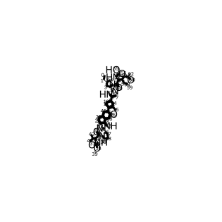 CC[C@H]1C[C@@H](c2ncc(-c3ccc4c(c3)COc3cc5c(ccc6nc([C@@H]7CC[C@H](C)N7C(=O)[C@@H](NC(=O)OC)C(C)C)[nH]c65)cc3-4)[nH]2)N(C(=O)[C@@H](NC(=O)O)C2C[C@@H](C)O[C@H](C)C2)C1